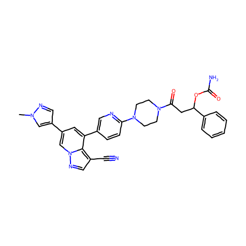 Cn1cc(-c2cc(-c3ccc(N4CCN(C(=O)CC(OC(N)=O)c5ccccc5)CC4)nc3)c3c(C#N)cnn3c2)cn1